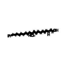 CC(C)CCCCCCCCCCCCCCCCCNCCO.Cl